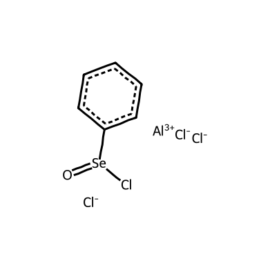 O=[Se](Cl)c1ccccc1.[Al+3].[Cl-].[Cl-].[Cl-]